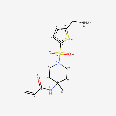 C=CC(=O)NC1(C)CCN(S(=O)(=O)c2ccc(CNC(C)=O)s2)CC1